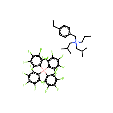 CCC[N+](Cc1ccc(CC)cc1)(CC(C)C)CC(C)C.Fc1c(F)c(F)c([B-](c2c(F)c(F)c(F)c(F)c2F)(c2c(F)c(F)c(F)c(F)c2F)c2c(F)c(F)c(F)c(F)c2F)c(F)c1F